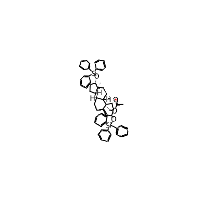 CC(=O)OC[C@@]12C(=C[C@@H](O[Si](c3ccccc3)(c3ccccc3)c3ccccc3)C[C@H]1C)CC[C@H]1[C@@H]3CC[C@H](O[Si](c4ccccc4)(c4ccccc4)c4ccccc4)[C@@]3(C)CC[C@@H]12